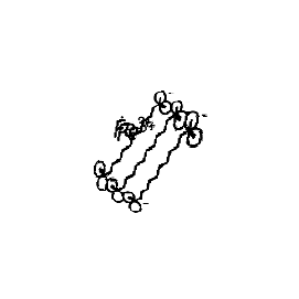 O=C([O-])CCCCCCCCCCC(=O)[O-].O=C([O-])CCCCCCCCCCC(=O)[O-].O=C([O-])CCCCCCCCCCC(=O)[O-].[Fe+3].[Fe+3]